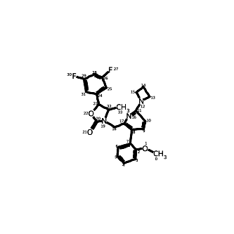 COc1ccccc1-c1ccc(N2CCC2)nc1CN1C(=O)OC(c2cc(F)cc(F)c2)C1C